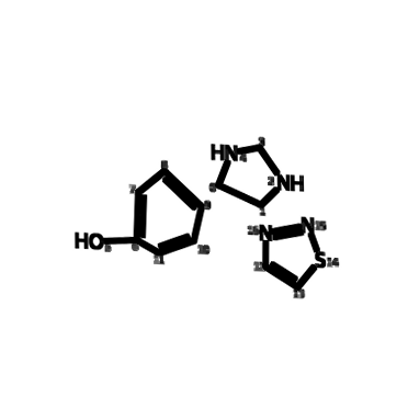 C1CNCN1.Oc1ccccc1.c1csnn1